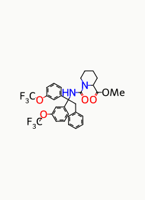 COC(=O)C1CCCCN1C(=O)NC(Cc1ccccc1)(c1cccc(OC(F)(F)F)c1)c1cccc(OC(F)(F)F)c1